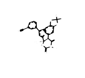 CN1C(=N)N[C@](C)(c2cc(-c3cccc(C#N)c3)cs2)C(c2ccc3c(c2)OC(F)(F)O3)C1=O